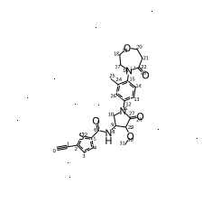 C#Cc1ccc(C(=O)NC2CN(c3ccc(N4CCOCCC4=O)c(C)c3)C(=O)C2OC)s1